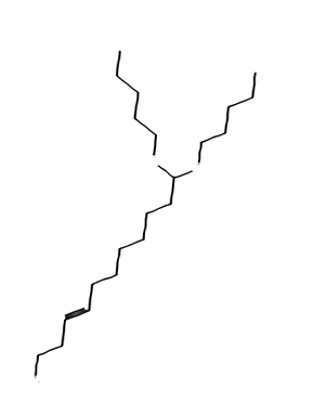 CCCCCOC(CCCCCC/C=C/CCO)OCCCCC